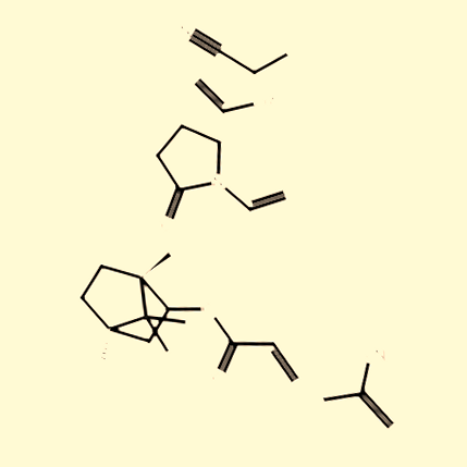 C=C(C)C#N.C=CC(=O)OC1C[C@H]2CC[C@@]1(C)C2(C)C.C=CN1CCCC1=O.C=COC(C)=O.[CH2]CC#N